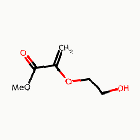 C=C(OCCO)C(=O)OC